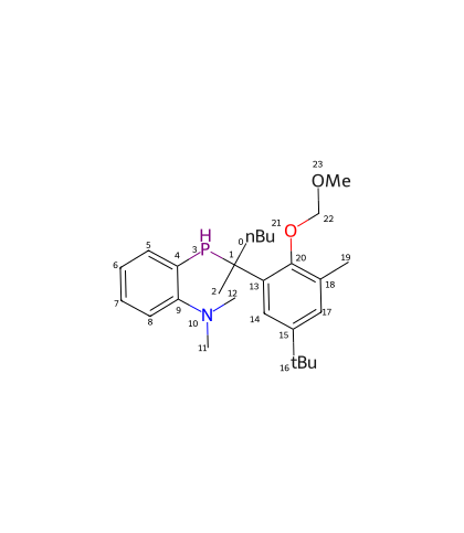 CCCCC(C)(Pc1ccccc1N(C)C)c1cc(C(C)(C)C)cc(C)c1OCOC